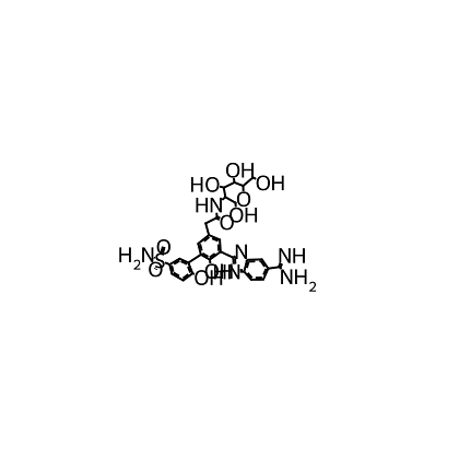 N=C(N)c1ccc2[nH]c(-c3cc(CC(=O)NC4C(O)OC(CO)C(O)C4O)cc(-c4cc(S(N)(=O)=O)ccc4O)c3O)nc2c1